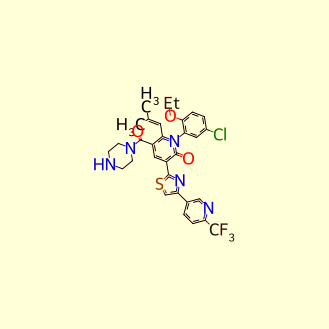 CCOc1ccc(Cl)cc1-n1c(C=C(C)C)c(C(=O)N2CCNCC2)cc(-c2nc(-c3ccc(C(F)(F)F)nc3)cs2)c1=O